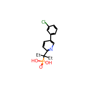 CCC(CC)(c1ccc(-c2cccc(Cl)c2)cn1)P(=O)(O)O